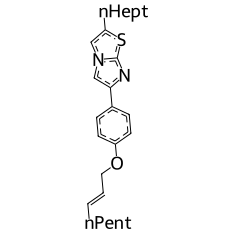 CCCCCC=CCOc1ccc(-c2cn3cc(CCCCCCC)sc3n2)cc1